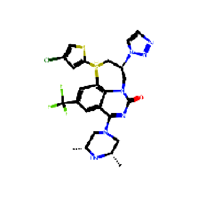 C[C@@H]1CN(c2nc(=O)n3c4c(cc(C(F)(F)F)cc24)[SH](c2cc(Cl)cs2)C[C@@H](n2ccnn2)C3)C[C@H](C)N1